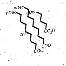 CCCCCCCCCCCCCC(=O)O.CCCCCCCCCCCCCCCCCC(=O)[O-].CCCCCCCCCCCCCCCCCC(=O)[O-].[Zn+2]